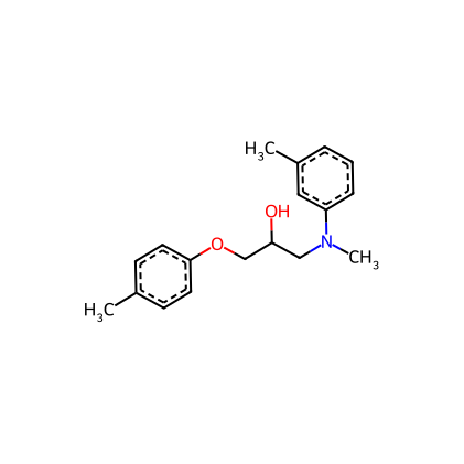 Cc1ccc(OCC(O)CN(C)c2cccc(C)c2)cc1